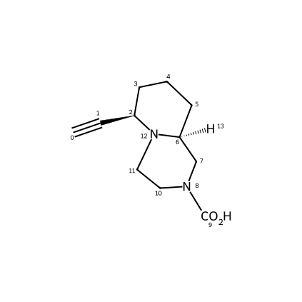 C#C[C@H]1CCC[C@H]2CN(C(=O)O)CCN21